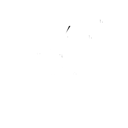 CCCCOC(=O)N1C[C@H](Cc2cncn2C)[C@@H](CC)C1=O